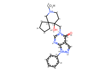 O=C(O)N1CCC(O)(Cn2cnc3c(cnn3-c3ccccc3)c2=O)C2(CCCC2)C1